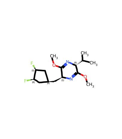 COC1=N[C@H](C(C)C)C(OC)=N[C@H]1C[C@H]1C[C@@H](F)[C@@H](F)C1